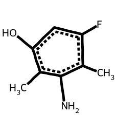 Cc1c(O)cc(F)c(C)c1N